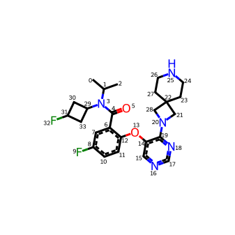 CC(C)N(C(=O)c1cc(F)ccc1Oc1cncnc1N1CC2(CCNCC2)C1)C1CC(F)C1